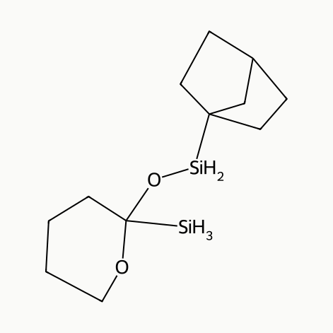 [SiH3]C1(O[SiH2]C23CCC(CC2)C3)CCCCO1